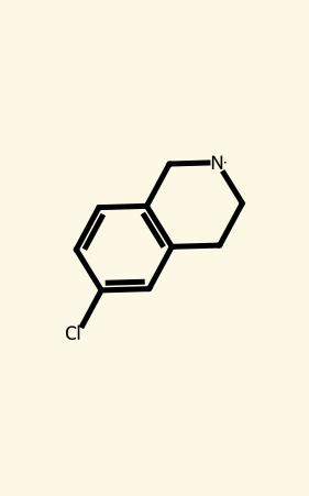 Clc1ccc2c(c1)CC[N]C2